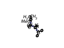 COc1cc(N(C)C)ccc1/C=C/c1sc(/C=C/c2ccc(/C=C/C3=CC(c4ccccc4)SC(c4ccccc4)=C3)c3nsnc23)c2c1OCCO2